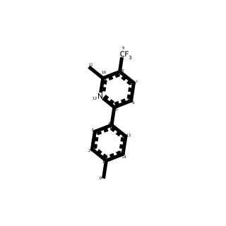 Cc1ccc(-c2ccc(C(F)(F)F)c(C)n2)cc1